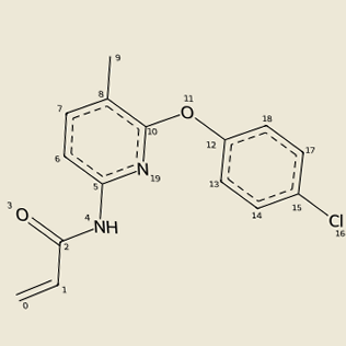 C=CC(=O)Nc1ccc(C)c(Oc2ccc(Cl)cc2)n1